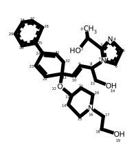 CC(O)c1nccn1C(/C=C/C1(OC2CCN(CCO)CC2)C=CC(c2ccccc2)=CC1)CO